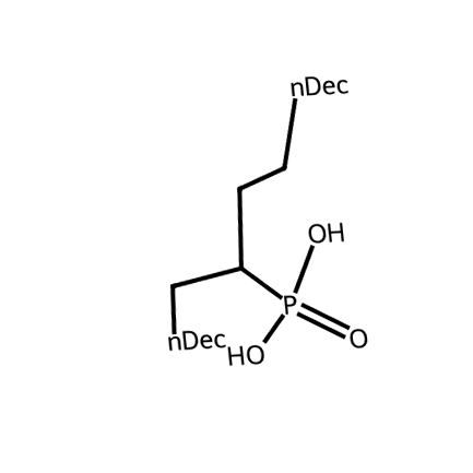 CCCCCCCCCCCCC(CCCCCCCCCCC)P(=O)(O)O